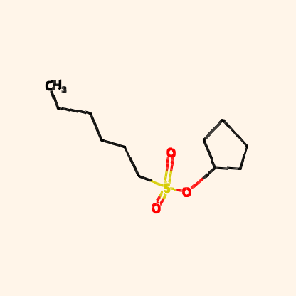 CCCCCCS(=O)(=O)OC1CCCC1